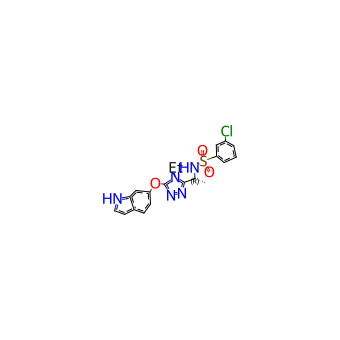 CCn1c(Oc2ccc3cc[nH]c3c2)nnc1[C@@H](C)NS(=O)(=O)c1cccc(Cl)c1